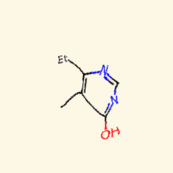 CCc1ncnc(O)c1C